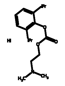 CC(C)c1cccc(C(C)C)c1OC(=O)OCCN(C)C.I